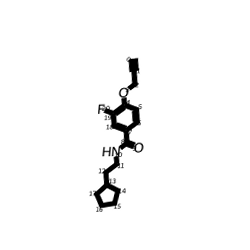 C#CCOc1ccc(C(=O)NCCC2CCCC2)cc1F